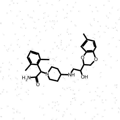 Cc1ccc2c(c1)OC(C(O)CNC1CCN(C(C(N)=O)c3c(C)cccc3C)CC1)CO2